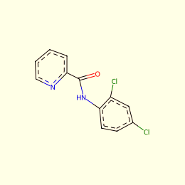 O=C(Nc1ccc(Cl)cc1Cl)c1ccccn1